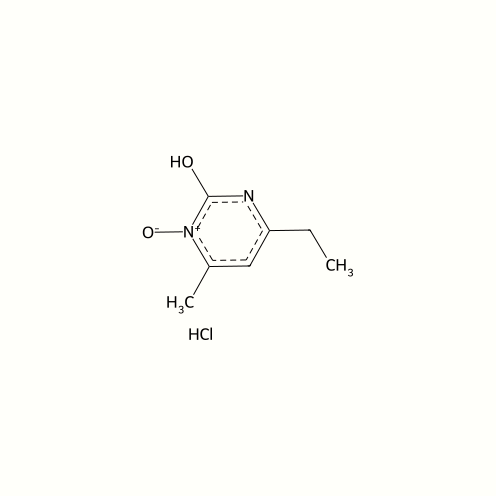 CCc1cc(C)[n+]([O-])c(O)n1.Cl